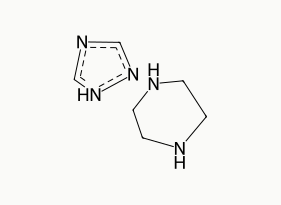 C1CNCCN1.c1nc[nH]n1